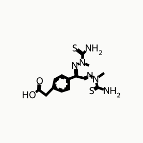 CN(N=CC(=NN(C)C(N)=S)c1ccc(CC(=O)O)cc1)C(N)=S